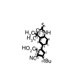 CC(C)(C)c1cc(-c2ccc3c(c2)C(C)(C)OC(=S)N3)n(C(=O)O)c1C#N